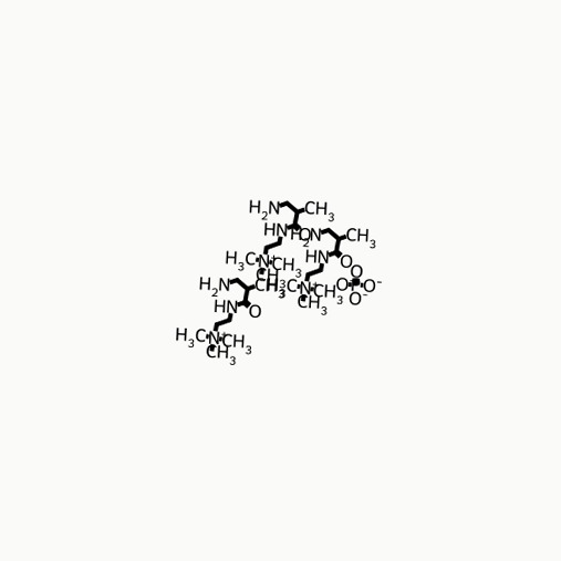 CC(CN)C(=O)NCC[N+](C)(C)C.CC(CN)C(=O)NCC[N+](C)(C)C.CC(CN)C(=O)NCC[N+](C)(C)C.O=P([O-])([O-])[O-]